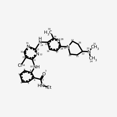 CCNC(=O)c1ccccc1Nc1nc(Nc2ccc(N3CCC(N(C)C)CC3)nc2C)ncc1Cl